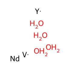 O.O.O.O.[Nd].[V].[Y]